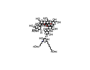 CCCCCCCCCCCCC/C=C/[C@@H](O)[C@H](CO[C@@H]1OC(CO)[C@@H](O[C@@H]2OC(CO)[C@H](O[C@@H]3OC(CO)[C@H](O)[C@H](O)C3NC(C)=O)[C@H](O[C@@H]3OC(CO)[C@@H](O[C@@H]4OC(CO)[C@H](O)[C@H](O[C@]5(C(=O)O)CC(O)[C@@H](NC(C)=O)C([C@H](O)[C@H](O)CO)O5)C4O)[C@H](O)C3NC(C)=O)C2O)[C@H](O)C1O)NC(=O)CCCCCCCCCCCCCCCCC